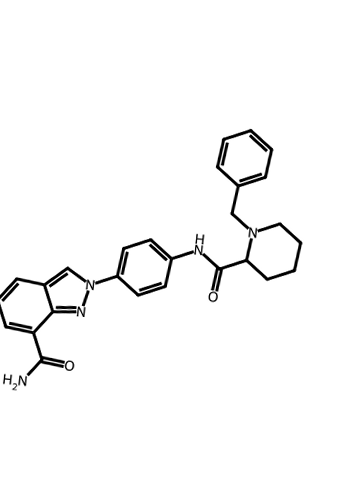 NC(=O)c1cccc2cn(-c3ccc(NC(=O)C4CCCCN4Cc4ccccc4)cc3)nc12